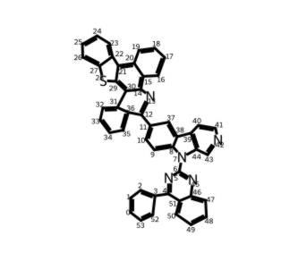 c1ccc(-c2nc(-n3c4ccc(-c5nc6c7ccccc7c7c8ccccc8sc7c6c6ccccc56)cc4c4ccncc43)nc3ccccc23)cc1